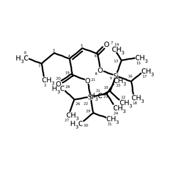 CC(C)C/C(=C/C(=O)O[Si](C(C)C)(C(C)C)C(C)C)C(=O)O[Si](C(C)C)(C(C)C)C(C)C